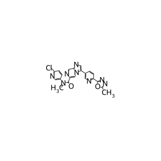 Cc1nnc(-c2ccc(-c3cnc4cnc(C(=O)N(C)c5ccc(Cl)nc5)cn34)cn2)o1